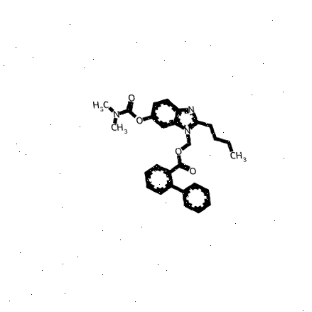 CCCCc1nc2ccc(OC(=O)N(C)C)cc2n1COC(=O)c1ccccc1-c1ccccc1